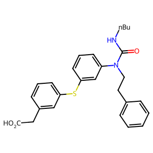 CCCCNC(=O)N(CCc1ccccc1)c1cccc(Sc2cccc(CC(=O)O)c2)c1